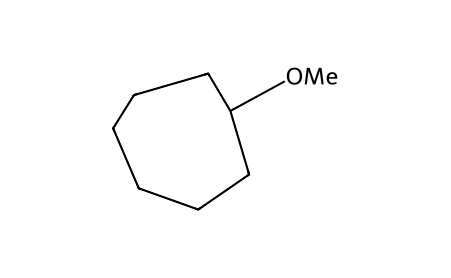 [CH]OC1CCCCCC1